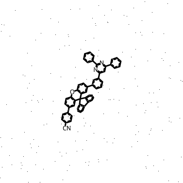 N#Cc1ccc(-c2ccc3c(c2)C2(c4cc(-c5cccc(-c6cc(-c7ccccc7)nc(-c7ccccc7)n6)c5)ccc4O3)c3ccccc3-c3ccccc32)cc1